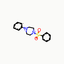 O=S(=O)(c1ccccc1)N1CCN(c2[c]cccc2)CC1